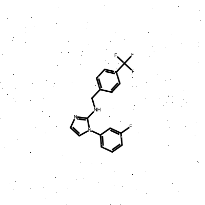 Fc1cccc(-n2ccnc2NCc2ccc(C(F)(F)F)cc2)c1